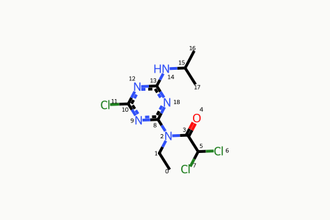 CCN(C(=O)C(Cl)Cl)c1nc(Cl)nc(NC(C)C)n1